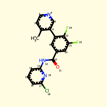 Cc1ccncc1-c1cc(C(=O)Nc2cccc(Cl)n2)cc(F)c1F